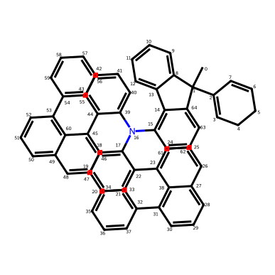 CC1(C2=CCCC=C2)c2ccccc2-c2c(N(c3ccccc3-c3cccc4cccc(-c5ccccc5)c34)c3ccccc3-c3cccc4cccc(-c5ccccc5)c34)cccc21